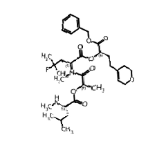 CN[C@@H](CC(C)C)C(=O)O[C@H](C)C(=O)N(C)[C@@H](CC(C)(C)F)C(=O)O[C@H](CCC1=CCOCC1)C(=O)OCc1ccccc1